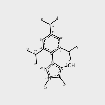 Cc1c(O)c(-c2c(C(C)C)cc(C(C)C)cc2C(C)C)nn1C